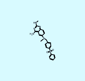 CNc1nc(N)c2cc(N(C)Cc3ccc(S(=O)(=O)c4ccccc4)cc3)ccc2n1